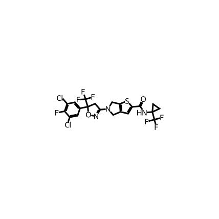 O=C(NC1(C(F)(F)F)CC1)c1cc2c(s1)CN(C1=NOC(c3cc(Cl)c(F)c(Cl)c3)(C(F)(F)F)C1)C2